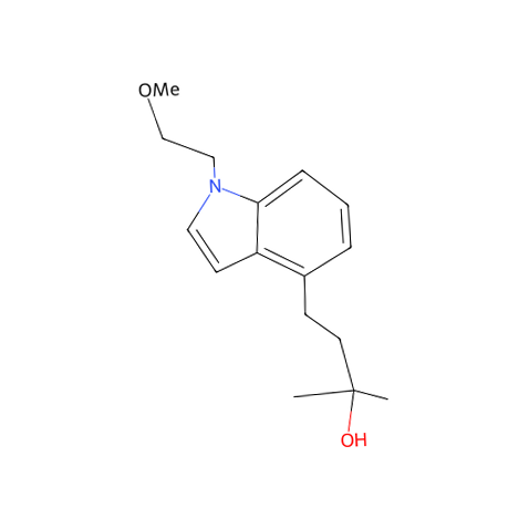 COCCn1ccc2c(CCC(C)(C)O)cccc21